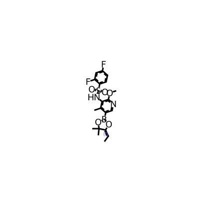 C/C=C1/OB(c2cnc(OC)c(NS(=O)(=O)c3ccc(F)cc3F)c2C)OC1(C)C